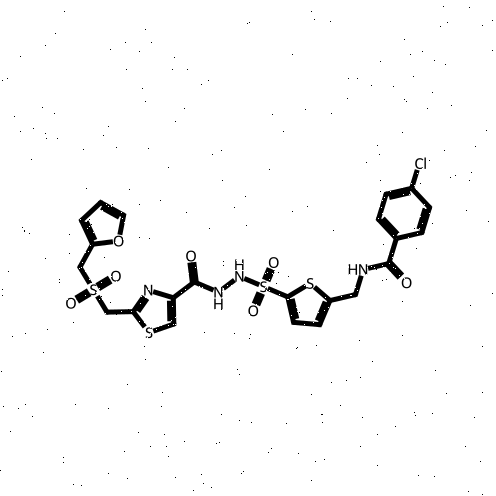 O=C(NCc1ccc(S(=O)(=O)NNC(=O)c2csc(CS(=O)(=O)Cc3ccco3)n2)s1)c1ccc(Cl)cc1